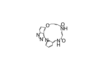 O=C1/C=C\COc2ccc3ncnc(c3c2)/N=c2\cccc\c2=C/NC(=O)/C=C/N1